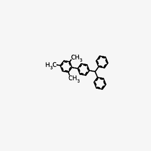 Cc1cc(C)c(-c2ccc([C](c3ccccc3)c3ccccc3)cc2)c(C)c1